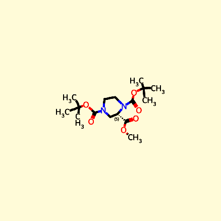 COC(=O)[C@@H]1CN(C(=O)OC(C)(C)C)CCN1C(=O)OC(C)(C)C